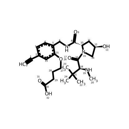 C#Cc1ccc(CNC(=O)[C@@H]2C[C@@H](O)CN2C(=O)[C@@H](NC)C(C)(C)C)c(OCCCC(=O)O)c1